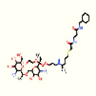 C=C(CCCSCC(=O)NCCC(=O)NCC1CCCCC1)NCCCOOC(CC)(OCCO)C1OC(COC(C)C2OC(CO)C(O)C(O)C2N)C(O)C(O)C1N